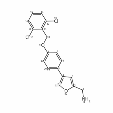 NCc1cc(-c2ccc(OCc3c(Cl)cccc3Cl)cn2)no1